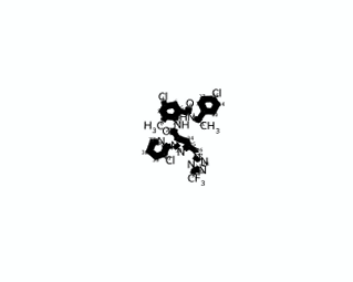 Cc1cc(Cl)cc(C(=O)NC(C)c2ccc(Cl)cc2)c1NC(=O)c1cc(Cn2nnc(C(F)(F)F)n2)nn1-c1ncccc1Cl